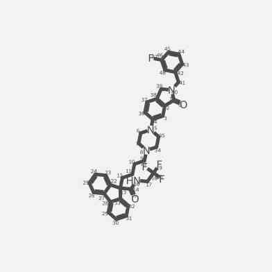 O=C1c2cc(N3CCN(CCCCC4(C(=O)NCC(F)(F)F)c5ccccc5-c5ccccc54)CC3)ccc2CN1Cc1cccc(F)c1